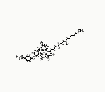 CCCCCCCC(=O)CCCCCC/C=C/[C@H](C(=O)N[C@@H](Cc1ccc(Oc2ccc(OC)cc2)cc1)C(=O)O)[C@@](O)(CC(=O)O)C(=O)O